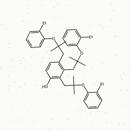 CCc1ccccc1OC(C)(C)Cc1ccc(O)c(CC(C)(C)Oc2ccccc2CC)c1CC(C)(C)Oc1ccccc1CC